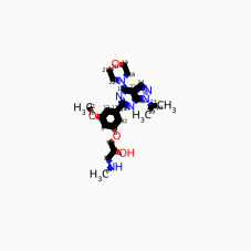 CNCC(O)COc1cc(OC)cc(-c2nc(N3CCOCC3)c3cnn(C(C)C)c3n2)c1